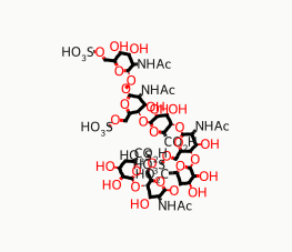 CC(=O)NC1[C@H](OO[C@@H]2OC(COS(=O)(=O)O)[C@@H](O[C@@H]3OC(C(=O)O)[C@@H](O[C@@H]4OC(COS(=O)(=O)O)[C@@H](O[C@@H]5OC(C(=O)O)[C@@H](O[C@@H]6OC(COS(=O)(=O)O)[C@@H](O[C@@H]7OC(C(=O)O)C[C@H](O)C7O)[C@H](O)C6NC(C)=O)[C@H](O)C5O)[C@H](O)C4NC(C)=O)[C@H](O)C3O)[C@H](O)C2NC(C)=O)OC(COS(=O)(=O)O)[C@@H](O)[C@@H]1O